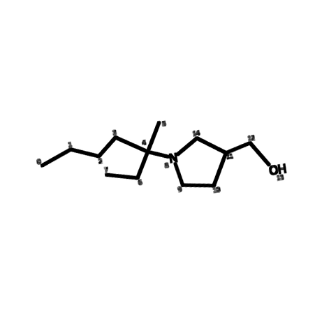 CCCCC(C)(CC)N1CCC(CO)C1